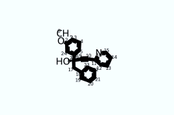 COc1cccc([C@](O)(C#Cc2ccccn2)Cc2ccccc2)c1